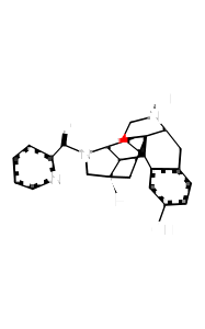 CN1CCC23c4cc(O)ccc4CC1C21CCC2C3[C@@H](CN2C(=O)c2ccccn2)C1